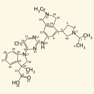 CC(C)N1CCC(c2cc(Nc3ncc(Cl)c(N4CC(C)(CC(=O)O)c5ccccc54)n3)cc3c2CCN(C)C3)C1